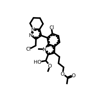 COC(O)c1c(CCCOC(C)=O)c2ccc(Cl)c(-c3c(CCl)nn4c3CCCC4)c2n1C